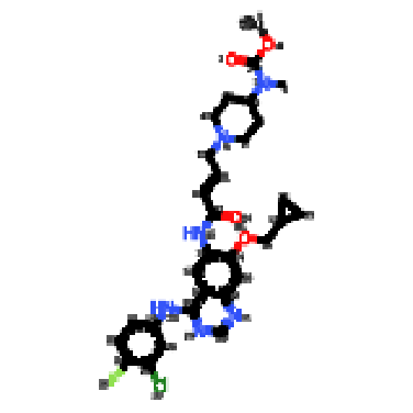 CN(C(=O)OC(C)(C)C)C1CCN(C/C=C/C(=O)Nc2cc3c(Nc4ccc(F)c(Cl)c4)ncnc3cc2OCC2CC2)CC1